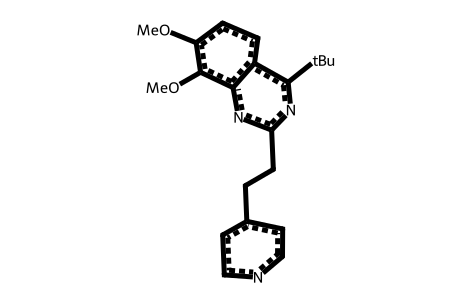 COc1ccc2c(C(C)(C)C)nc(CCc3ccncc3)nc2c1OC